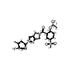 Cc1cc(-n2cc3c(n2)CN(C(=O)c2cc(S(C)(=O)=O)ccc2O[C@@H](C)C(F)(F)F)C3)ncc1F